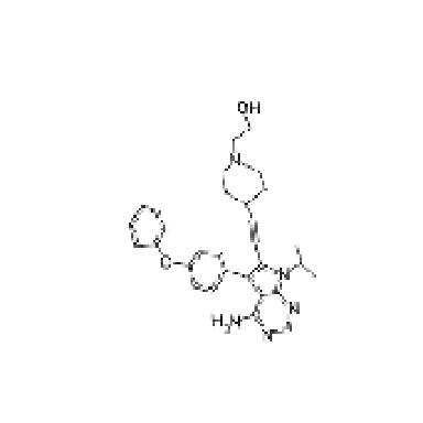 CC(C)n1c(C#CC2CCN(CCO)CC2)c(-c2ccc(Oc3ccccc3)cc2)c2c(N)ncnc21